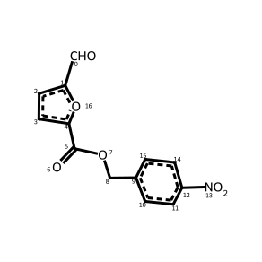 O=Cc1ccc(C(=O)OCc2ccc([N+](=O)[O-])cc2)o1